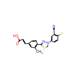 Cc1cc(C=CC(=O)O)ccc1C1=NN(c2ccc(F)c(C#N)c2)CS1